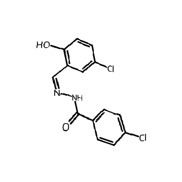 O=C(N/N=C\c1cc(Cl)ccc1O)c1ccc(Cl)cc1